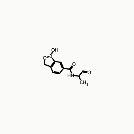 CC(C=O)NC(=O)c1ccc2c(c1)B(O)OC2